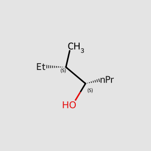 CCC[C@H](O)[C@@H](C)CC